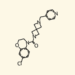 O=C(N1CC2(CN(Cc3ccncc3)C2)C1)N1CCOc2cc(Cl)ccc21